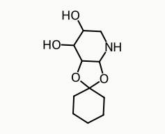 OC1CNC2OC3(CCCCC3)OC2C1O